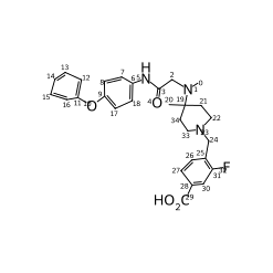 CN(CC(=O)Nc1ccc(Oc2ccccc2)cc1)C1(C)CCN(Cc2ccc(C(=O)O)cc2F)CC1